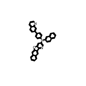 c1ccc2cc(N(c3ccc(-c4ccc5cccnc5c4)cc3)c3cnc4c(c3)oc3cc5ccccc5cc34)ccc2c1